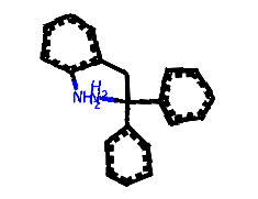 Nc1ccccc1CC(N)(c1ccccc1)c1ccccc1